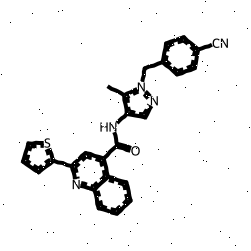 Cc1c(NC(=O)c2cc(-c3cccs3)nc3ccccc23)cnn1Cc1ccc(C#N)cc1